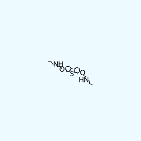 CCCNCCOc1ccc2c(c1)sc1cc(OCCNCCC)ccc12